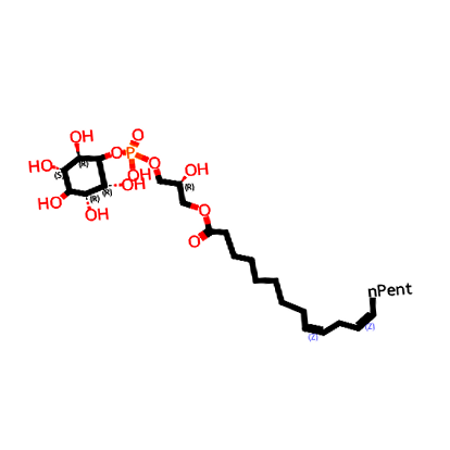 CCCCC/C=C\C/C=C\CCCCCCCC(=O)OC[C@@H](O)COP(=O)(O)OC1[C@H](O)[C@H](O)C(O)[C@H](O)[C@H]1O